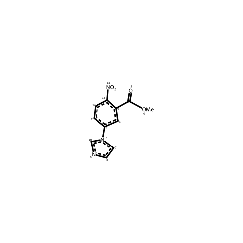 COC(=O)c1cc(-n2ccnc2)ccc1[N+](=O)[O-]